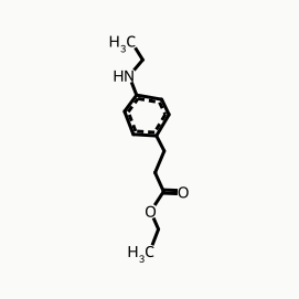 CCNc1ccc(CCC(=O)OCC)cc1